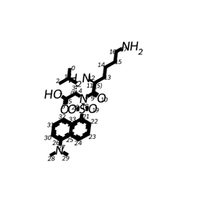 CC(C)C[C@@H](C(=O)O)N(C(=O)[C@@H](N)CCCCN)S(=O)(=O)c1cccc2c(N(C)C)cccc12